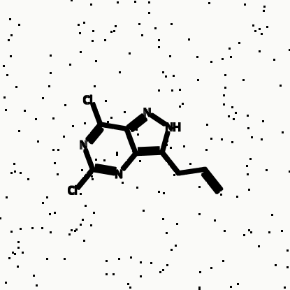 C=CCc1[nH]nc2c(Cl)nc(Cl)nc12